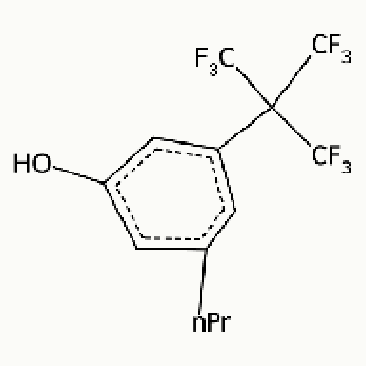 CCCc1cc(O)cc(C(C(F)(F)F)(C(F)(F)F)C(F)(F)F)c1